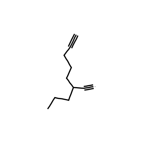 [C]#CC(CCC)CCCC#C